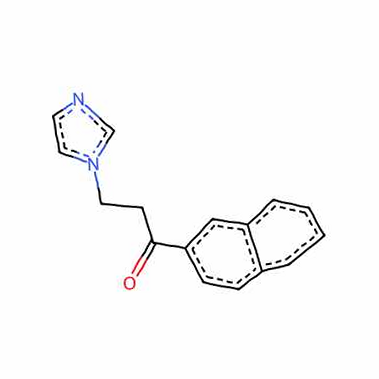 O=C(CCn1ccnc1)c1ccc2ccccc2c1